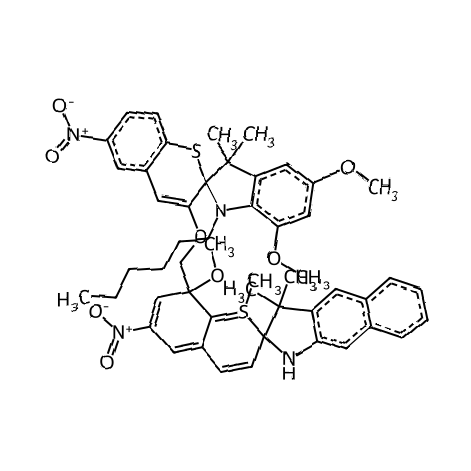 CCCCCCN1c2c(OC)cc(OC)cc2C(C)(C)C12Sc1ccc([N+](=O)[O-])cc1C=C2OCC1(OC)C=C([N+](=O)[O-])C=C2C=CC3(Nc4cc5ccccc5cc4C3(C)C)S(C)=C21